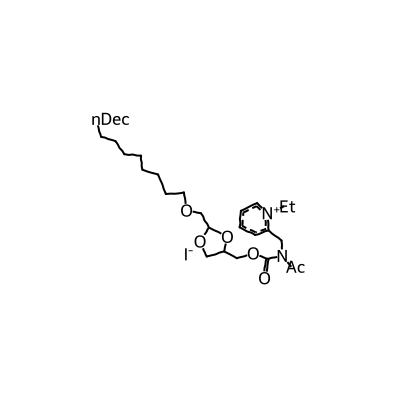 CCCCCCCCCCCCCCCCCCOCC1OCC(COC(=O)N(Cc2cccc[n+]2CC)C(C)=O)O1.[I-]